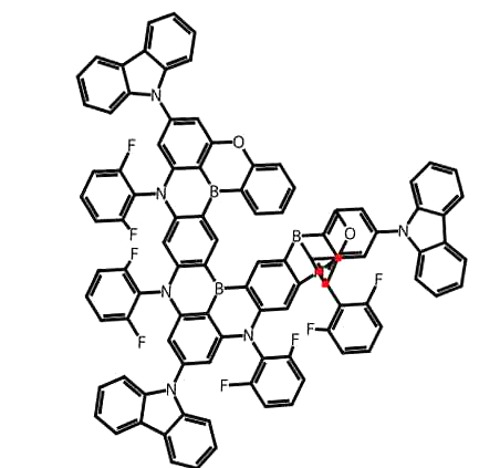 Fc1cccc(F)c1N1c2cc3c(cc2B2c4ccccc4Oc4cc(-n5c6ccccc6c6ccccc65)cc1c42)B1c2cc4c(cc2N(c2c(F)cccc2F)c2cc(-n5c6ccccc6c6ccccc65)cc(c21)N3c1c(F)cccc1F)N(c1c(F)cccc1F)c1cc(-n2c3ccccc3c3ccccc32)cc2c1B4c1ccccc1O2